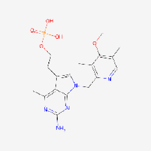 COc1c(C)cnc(Cn2cc(CCOP(=O)(O)O)c3c(C)nc(N)nc32)c1C